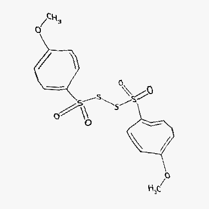 COc1ccc(S(=O)(=O)SSS(=O)(=O)c2ccc(OC)cc2)cc1